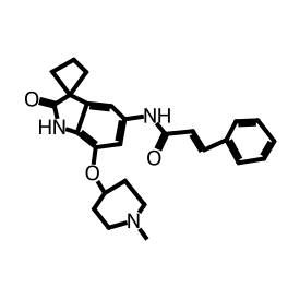 CN1CCC(Oc2cc(NC(=O)C=Cc3ccccc3)cc3c2NC(=O)C32CCC2)CC1